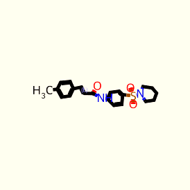 Cc1ccc(/C=C/C(=O)Nc2ccc(S(=O)(=O)N3CCCCC3)cc2)cc1